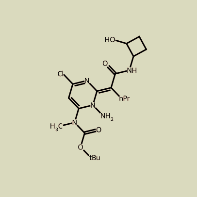 CCC/C(C(=O)NC1CCC1O)=C1/N=C(Cl)C=C(N(C)C(=O)OC(C)(C)C)N1N